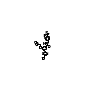 O=C(NCc1cnc(C(F)(F)F)nc1)c1cc(OCC2CCOC2)cc(-c2ncc(C3CCC3)s2)c1